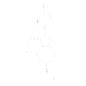 CC(C)c1ccc(-c2nn3c4c2CCN[C@@H]4CN(C(=O)OC(C)(C)C)CC3)cc1